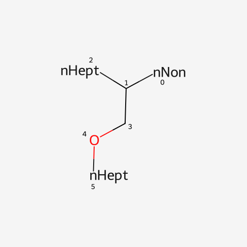 CCCCCCCCCC(CCCCCCC)COCCCCCCC